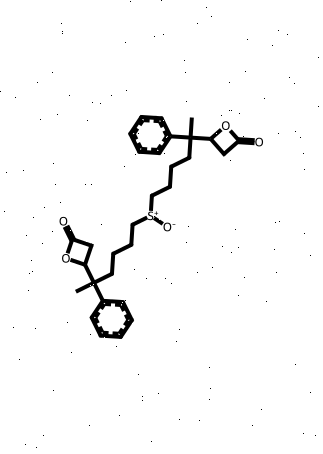 CC(CCCC[S+]([O-])CCCCC(C)(c1ccccc1)C1CC(=O)O1)(c1ccccc1)C1CC(=O)O1